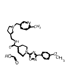 COc1ccc(-c2noc(N3CCC(C(=O)NCC4CCN(Cc5ccc(C)nc5)C4)CC3)n2)cc1.O=CO